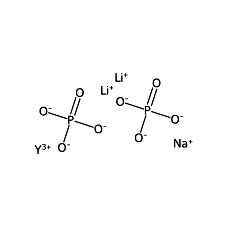 O=P([O-])([O-])[O-].O=P([O-])([O-])[O-].[Li+].[Li+].[Na+].[Y+3]